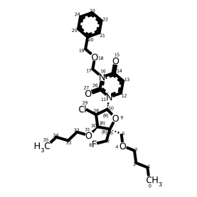 CCCCOC[C@@]1(CF)O[C@@H](n2ccc(=O)n(COCc3ccccc3)c2=O)C(Cl)[C@@H]1OCCCC